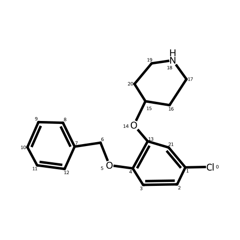 Clc1ccc(OCc2ccccc2)c(OC2CCNCC2)c1